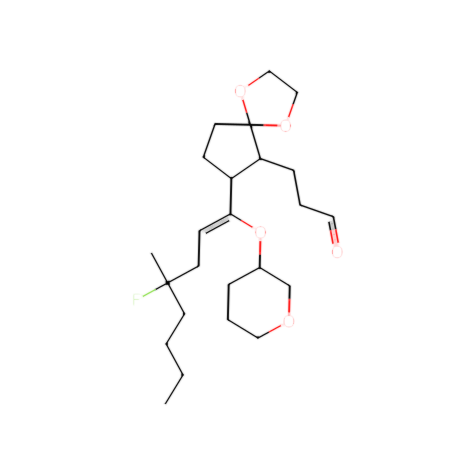 CCCCC(C)(F)CC=C(OC1CCCOC1)C1CCC2(OCCO2)C1CCC=O